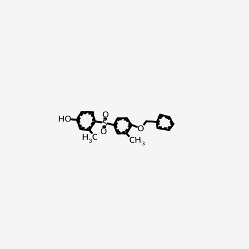 Cc1cc(S(=O)(=O)c2ccc(O)cc2C)ccc1OCc1ccccc1